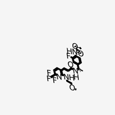 COCCNc1nc(C(F)(F)F)ccc1C=CC(=O)N[C@H](C)c1ccc(NS(C)(=O)=O)c(F)c1